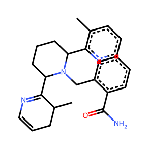 Cc1cccnc1C1CCCC(C2=NC=CCC2C)N1Cc1ccccc1C(N)=O